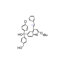 CC(C)(C)Oc1cc(/C=C/c2ccccc2)c2cc(C(O)(c3ccc(Cl)cc3)c3ccc(CO)cc3)ccc2n1